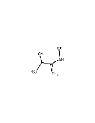 C=C(NCC)C(C)C(C)(C)C